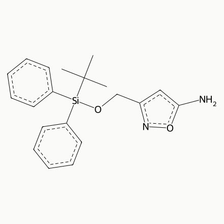 CC(C)(C)[Si](OCc1cc(N)on1)(c1ccccc1)c1ccccc1